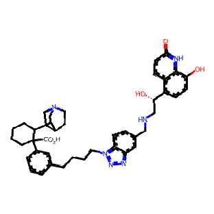 O=C(O)C1(c2cccc(CCCCn3nnc4cc(CNC[C@H](O)c5ccc(O)c6[nH]c(=O)ccc56)ccc43)c2)CCCCC1C1CN2CCC1CC2